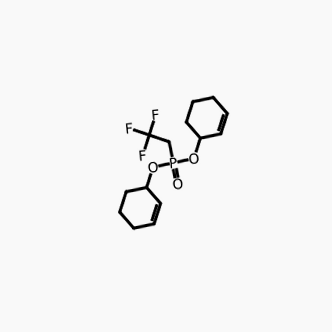 O=P(CC(F)(F)F)(OC1C=CCCC1)OC1C=CCCC1